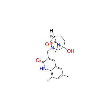 Cc1cc(C)c2[nH]c(=O)c(CN3C[C@H]4CCC(O)(C3)N(C)C4=O)cc2c1